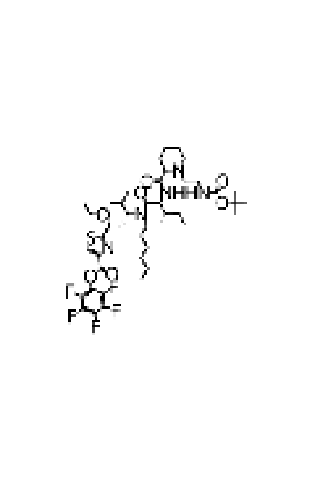 CCCCCCN(C(=O)[C@@H](NC(=O)C1CCCCN1CCNC(=O)OC(C)(C)C)[C@@H](C)CC)[C@H](C[C@@H](OCC)c1nc(C(=O)Oc2c(F)c(F)c(F)c(F)c2F)cs1)C(C)C